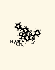 CC(C)(C)OC(=O)C1(c2ccc([N+](=O)[O-])c(N(Cc3ccccc3)Cc3ccccc3)c2F)CCN(Cc2ccccc2)C1